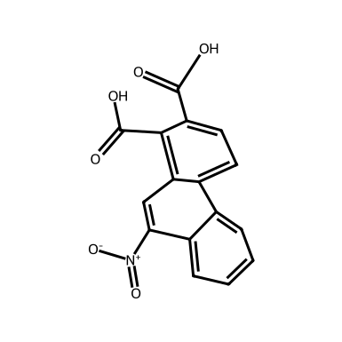 O=C(O)c1ccc2c(cc([N+](=O)[O-])c3ccccc32)c1C(=O)O